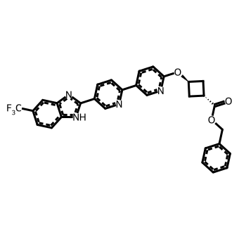 O=C(OCc1ccccc1)[C@H]1C[C@H](Oc2ccc(-c3ccc(-c4nc5cc(C(F)(F)F)ccc5[nH]4)cn3)cn2)C1